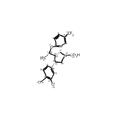 C[C@H](Oc1ccc(C(F)(F)F)cn1)[C@@H]1CN(C(=O)O)C[C@@H]1c1ccc(Cl)c(Cl)c1